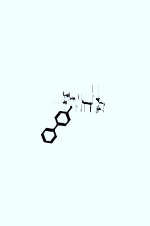 CC(N[C@H](c1ccc(-c2ccccc2)cc1)P(=O)(O)O)c1nnn[nH]1